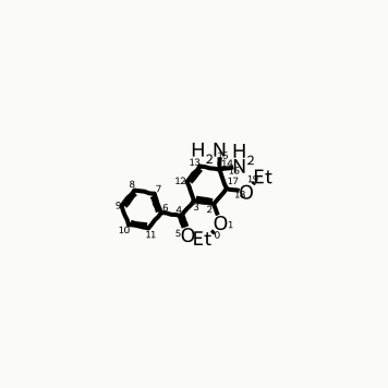 CCOC1=C(C(=O)c2ccccc2)C=CC(N)(N)C1OCC